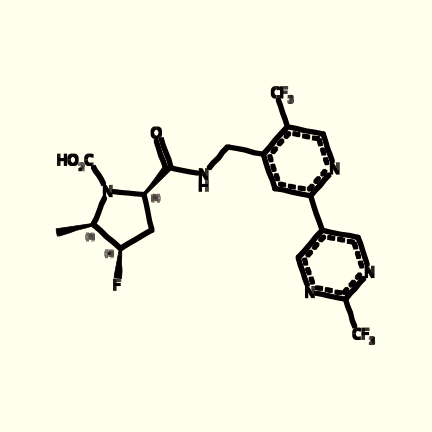 C[C@@H]1[C@H](F)C[C@H](C(=O)NCc2cc(-c3cnc(C(F)(F)F)nc3)ncc2C(F)(F)F)N1C(=O)O